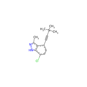 Cc1n[nH]c2c(Cl)ccc(C#C[Si](C)(C)C)c12